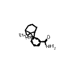 CCOC1(c2cccc(C(N)=O)c2)C2CCCC1CNC2